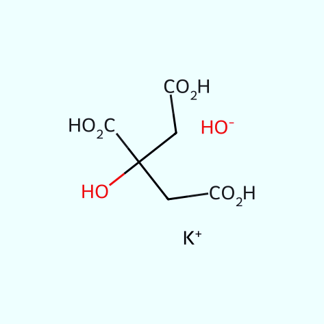 O=C(O)CC(O)(CC(=O)O)C(=O)O.[K+].[OH-]